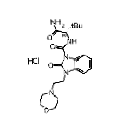 CC(C)(C)[C@H](NC(=O)n1c(=O)n(CCN2CCOCC2)c2ccccc21)C(N)=O.Cl